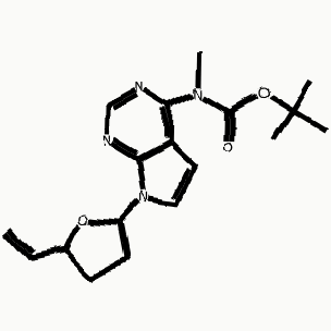 C=CC1CCC(n2ccc3c(N(C)C(=O)OC(C)(C)C)ncnc32)O1